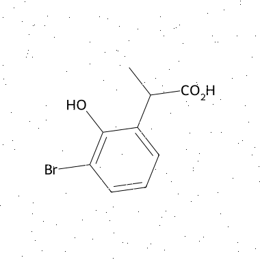 CC(C(=O)O)c1cccc(Br)c1O